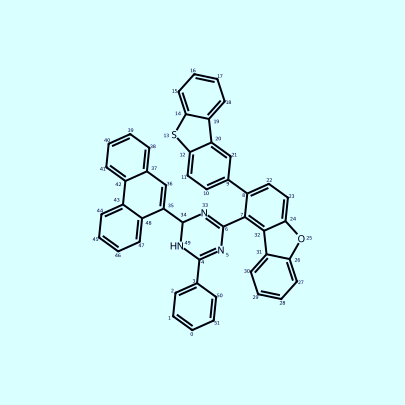 c1ccc(C2=NC(c3c(-c4ccc5sc6ccccc6c5c4)ccc4oc5ccccc5c34)=NC(c3cc4ccccc4c4ccccc34)N2)cc1